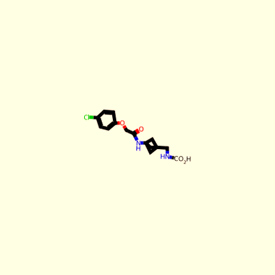 O=C(O)NCC12CC(NC(=O)COc3ccc(Cl)cc3)(C1)C2